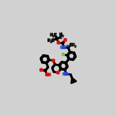 C[C@@H](NC(=O)OC(C)(C)C)c1cccc(-c2cc(NCC3CC3)c3c(c2)C(Oc2ccccc2CC(=O)O)CCO3)c1F